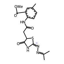 COC(=O)c1cc(C)ccc1NC(=O)CC1S/C(=N/N=C(C)C)NC1=O